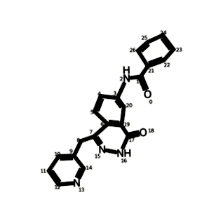 O=C(Nc1ccc2c(Cc3cccnc3)n[nH]c(=O)c2c1)c1ccccc1